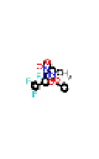 C[C@@H]1CC2(COCC(=O)N2)C(Cc2cccc(-c3cc(F)cc(F)c3)c2F)N1C(=O)OCc1ccccc1